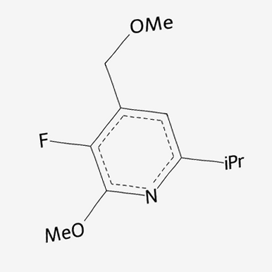 COCc1cc(C(C)C)nc(OC)c1F